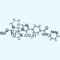 CCOC(=O)c1c(-c2ccc(C(=O)Nc3cccnn3)cc2)ncn1C1([C@@H]2CCCCN2C(=O)OC(C)(C)C)C=CC=N1